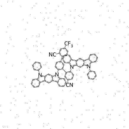 N#Cc1ccc(-n2c3ccccc3c3cc4c5ccccc5n(-c5ccccc5)c4cc32)c(-c2cc(-c3ccc(C(F)(F)F)cc3C#N)ccc2-n2c3ccccc3c3cc4c5ccccc5n(-c5ccccc5)c4cc32)c1